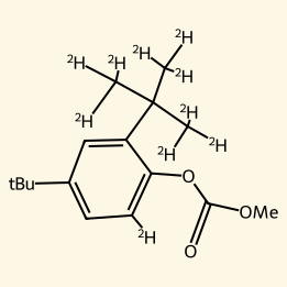 [2H]c1cc(C(C)(C)C)cc(C(C([2H])([2H])[2H])(C([2H])([2H])[2H])C([2H])([2H])[2H])c1OC(=O)OC